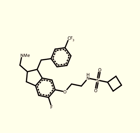 CNCC1Cc2cc(F)c(OCCNS(=O)(=O)C3CCC3)cc2C1Cc1cccc(C(F)(F)F)c1